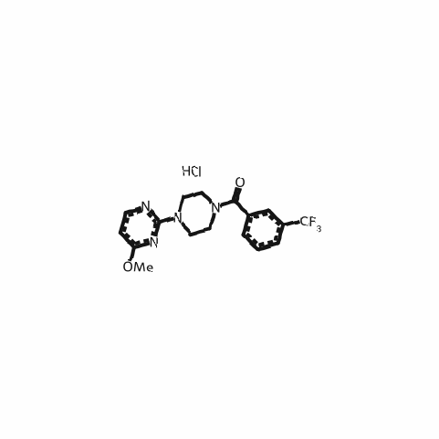 COc1ccnc(N2CCN(C(=O)c3cccc(C(F)(F)F)c3)CC2)n1.Cl